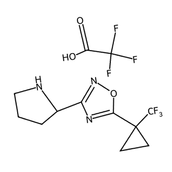 FC(F)(F)C1(c2nc(C3CCCN3)no2)CC1.O=C(O)C(F)(F)F